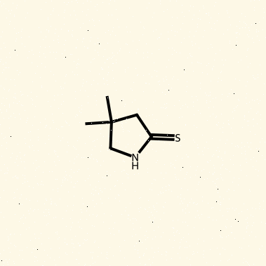 CC1(C)CNC(=S)C1